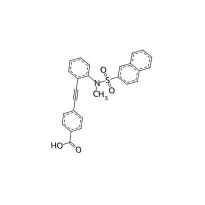 CN(c1ccccc1C#Cc1ccc(C(=O)O)cc1)S(=O)(=O)c1ccc2ccccc2c1